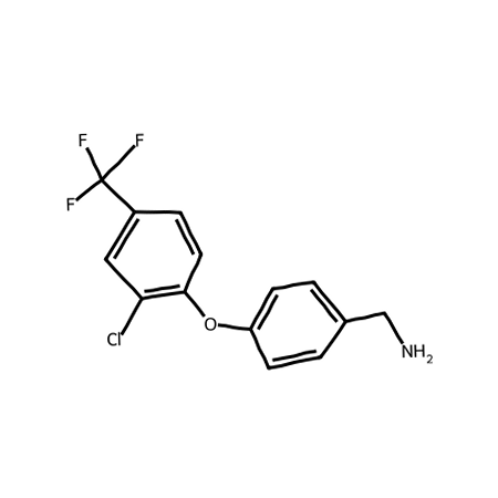 NCc1ccc(Oc2ccc(C(F)(F)F)cc2Cl)cc1